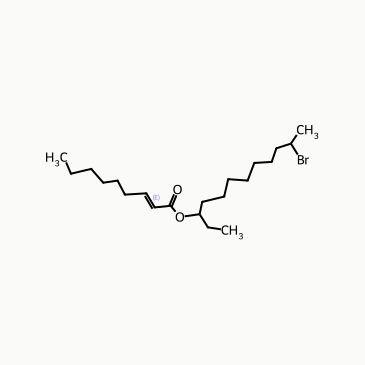 CCCCCC/C=C/C(=O)OC(CC)CCCCCCCC(C)Br